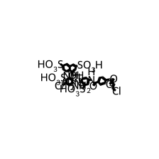 Nc1cc(Cl)c(S(=O)(=O)O)cc1Cl.Nc1cc(S(=O)(=O)O)cc2cc(S(=O)(=O)O)cc(O)c12.Nc1ccc(NC(=O)c2ccc(CS(=O)(=O)CCCl)cc2)cc1S(=O)(=O)O